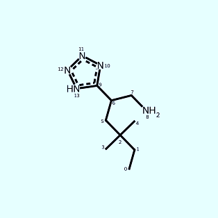 CCC(C)(C)CC(CN)c1nnn[nH]1